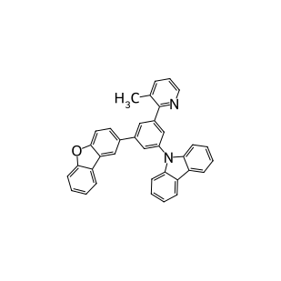 Cc1cccnc1-c1cc(-c2ccc3oc4ccccc4c3c2)cc(-n2c3ccccc3c3ccccc32)c1